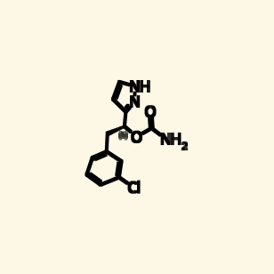 NC(=O)O[C@@H](Cc1cccc(Cl)c1)c1cc[nH]n1